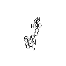 COc1cc2nccc(Oc3ccc4ccc(NC(=O)c5cnccn5)cc4c3)c2cc1OC